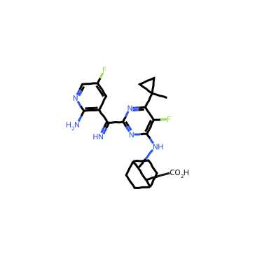 CC1(c2nc(C(=N)c3cc(F)cnc3N)nc(NC3C4CCC(CC4)C3C(=O)O)c2F)CC1